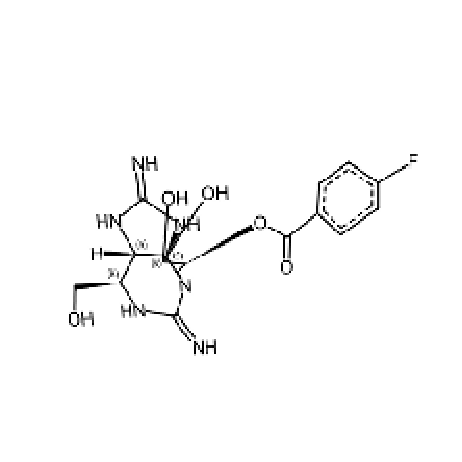 N=C1N[C@H]2[C@H](CO)NC(=N)N3C[C@H](OC(=O)c4ccc(F)cc4)C(O)(O)[C@]23N1